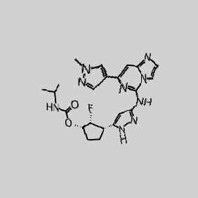 CC(C)NC(=O)O[C@H]1CC[C@@H](c2cc(Nc3nc(-c4cnn(C)c4)cc4nccn34)n[nH]2)[C@H]1F